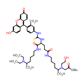 CC(C)COC(=O)CN(CCO)C(CCCCNC(=O)CCC(NC(=S)Nc1ccc(-c2c3ccc(=O)cc-3oc3cc(O)ccc23)c(C(=O)O)c1)C(=O)NCCCCC(C(=O)O)N(CC(=O)O)CC(=O)O)C(=O)O